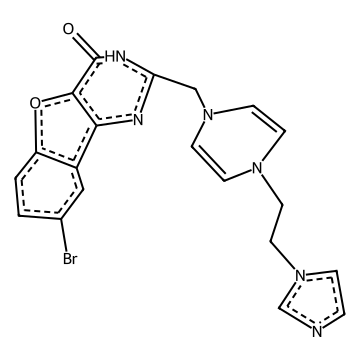 O=c1[nH]c(CN2C=CN(CCn3ccnc3)C=C2)nc2c1oc1ccc(Br)cc12